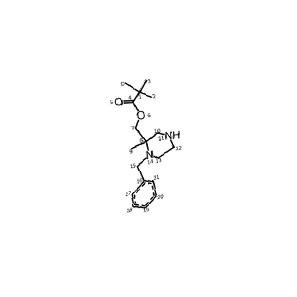 CC(C)(C)C(=O)OCC1(C)CNCCN1Cc1ccccc1